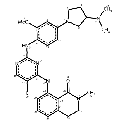 COc1cc(N2CCC(N(C)C)C2)ccc1Nc1ncc(Cl)c(Nc2cccc3c2C(=O)N(C)CC3)n1